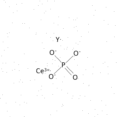 O=P([O-])([O-])[O-].[Ce+3].[Y]